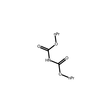 CCCOC(=O)NC(=O)OCCC